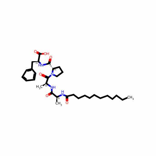 CCCCCCCCCCCC(=O)N[C@@H](C)C(=O)N[C@@H](C)C(=O)N1CCC[C@H]1C(=O)N[C@@H](Cc1ccccc1)C(=O)O